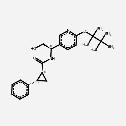 BC(B)(B)C(B)(B)Oc1ccc([C@H](CO)NC(=O)[C@H]2C[C@@H]2c2ccccc2)cn1